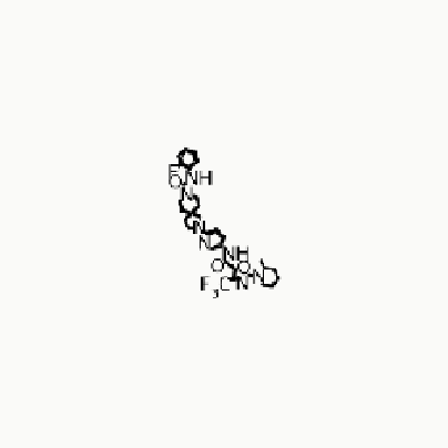 CC1CCCCN1c1nc(C(F)(F)F)c(C(=O)Nc2ccc(N3CCC4(CCN(C(=O)Nc5ccccc5F)CC4)C3)nc2)o1